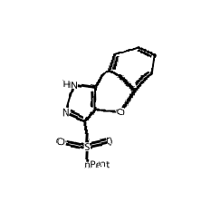 CCCCCS(=O)(=O)c1n[nH]c2c1oc1ccccc12